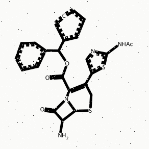 CC(=O)Nc1ncc(C2=C(C(=O)OC(c3ccccc3)c3ccccc3)N3C(=O)C(N)C3SC2)s1